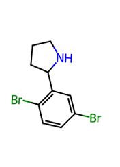 Brc1ccc(Br)c(C2CCCN2)c1